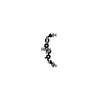 Cc1cc(-c2ccnc(Nc3ccc(N4CCN(CC5CNC5)CC4)cc3)n2)ccc1CN1CC(OC(C)C)C1